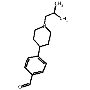 C[C](C)CN1CCC(c2ccc(C=O)cc2)CC1